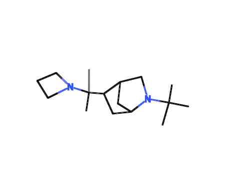 CC(C)(C)N1CC2CC1CC2C(C)(C)N1CCC1